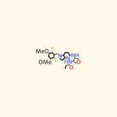 C=CC(=O)NC1COCC1Nc1ccc2c(ccn2Cc2c(F)c(OC)cc(OC)c2F)n1